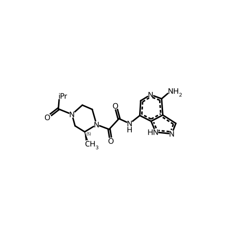 CC(C)C(=O)N1CCN(C(=O)C(=O)Nc2cnc(N)c3cn[nH]c23)[C@@H](C)C1